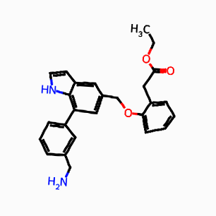 CCOC(=O)Cc1ccccc1OCc1cc(-c2cccc(CN)c2)c2[nH]ccc2c1